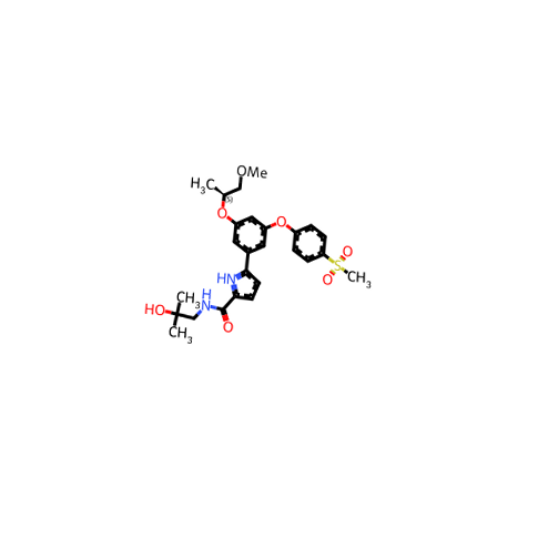 COC[C@H](C)Oc1cc(Oc2ccc(S(C)(=O)=O)cc2)cc(-c2ccc(C(=O)NCC(C)(C)O)[nH]2)c1